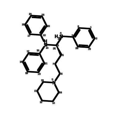 c1ccc([SiH2][C@@H](CCCN2CCCCC2)[SiH](c2ccccc2)c2ccccc2)cc1